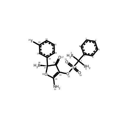 BC(B)(c1ccccc1)S(=O)(=O)OC1=C(N)O[C@](B)(c2cccc(F)c2)C1=O